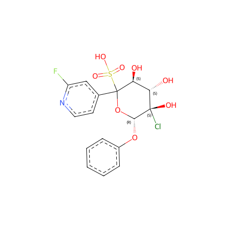 O=S(=O)(O)C1(c2ccnc(F)c2)O[C@@H](Oc2ccccc2)[C@@](O)(Cl)[C@@H](O)[C@@H]1O